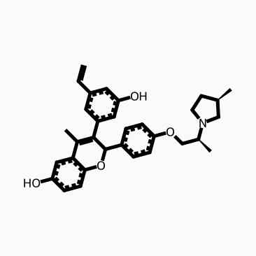 C=Cc1cc(O)cc(C2=C(C)c3cc(O)ccc3OC2c2ccc(OC[C@H](C)N3CC[C@@H](C)C3)cc2)c1